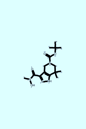 CN(O)C(=O)c1n[nH]c2c1CN(C(=O)OC(C)(C)C)CC2(C)C